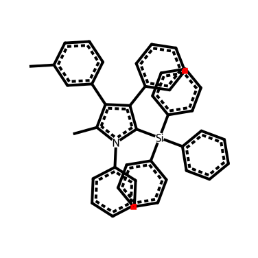 Cc1cccc(-c2c(-c3ccccc3)c([Si](c3ccccc3)(c3ccccc3)c3ccccc3)n(-c3ccccc3)c2C)c1